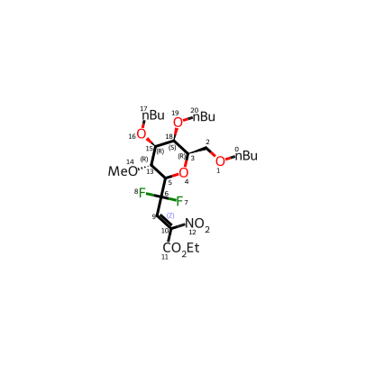 CCCCOC[C@H]1OC(C(F)(F)/C=C(/C(=O)OCC)[N+](=O)[O-])[C@H](OC)[C@@H](OCCCC)[C@H]1OCCCC